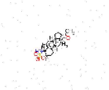 CC(=O)[C@H]1CC[C@H]2[C@@H]3CC=C4[C@H]5NS(=O)(=O)O[C@H]5CC[C@]4(C)[C@H]3CC[C@]12C